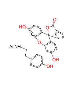 CC(=O)NCCc1ccc(O)cc1.O=C1OC2(c3ccc(O)cc3Oc3cc(O)ccc32)c2ccccc21